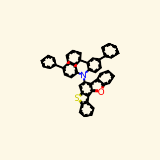 c1ccc(-c2ccc(N(c3ccc(-c4ccccc4)cc3-c3ccccc3)c3cc4sc5ccccc5c4c4oc5ccccc5c34)cc2)cc1